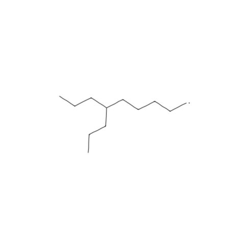 [CH2]CCCCC(CCC)CCC